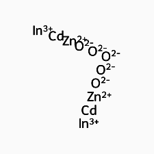 [Cd].[Cd].[In+3].[In+3].[O-2].[O-2].[O-2].[O-2].[O-2].[Zn+2].[Zn+2]